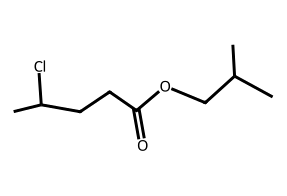 CC(C)COC(=O)CCC(C)Cl